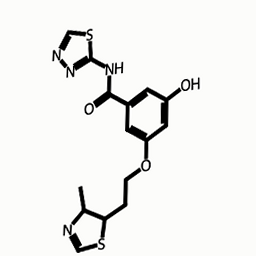 CC1N=CSC1CCOc1cc(O)cc(C(=O)Nc2nncs2)c1